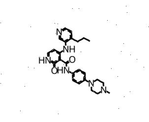 CCCc1ccncc1Nc1cc[nH]c(=O)c1C(=O)Nc1ccc(N2CCN(C)CC2)cc1